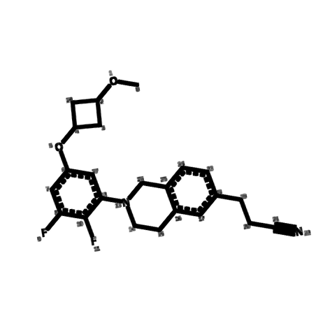 COC1CC(Oc2cc(F)c(F)c(N3CCc4cc(CCC#N)ccc4C3)c2)C1